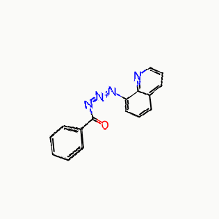 O=C(N=[N+]=Nc1cccc2cccnc12)c1ccccc1